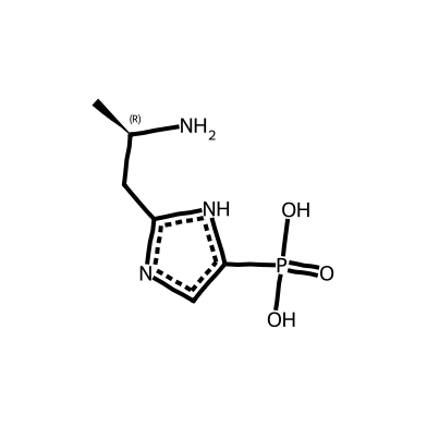 C[C@@H](N)Cc1ncc(P(=O)(O)O)[nH]1